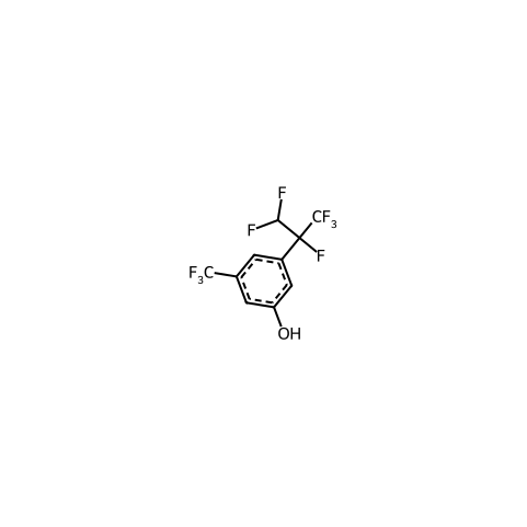 Oc1cc(C(F)(F)F)cc(C(F)(C(F)F)C(F)(F)F)c1